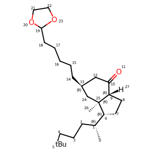 C[C@H](CCCC(C)(C)C)[C@H]1CC[C@H]2C(=O)C[C@H](CCCCCC3OCCO3)C[C@]12C